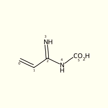 C=CC(=N)NC(=O)O